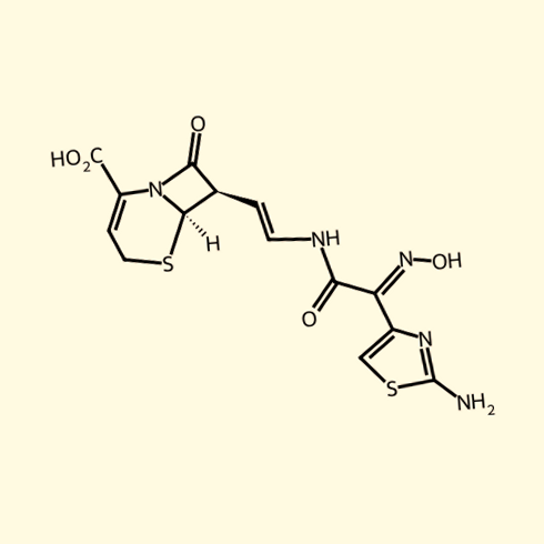 Nc1nc(C(=NO)C(=O)NC=C[C@@H]2C(=O)N3C(C(=O)O)=CCS[C@H]23)cs1